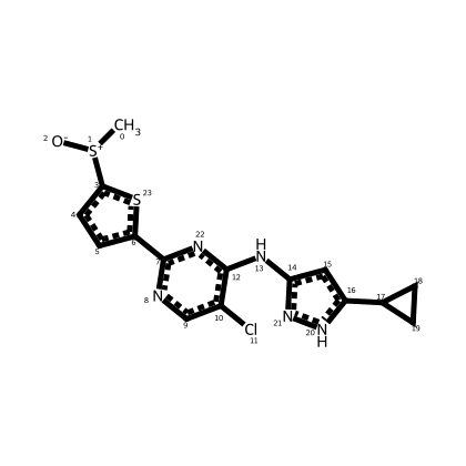 C[S+]([O-])c1ccc(-c2ncc(Cl)c(Nc3cc(C4CC4)[nH]n3)n2)s1